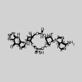 C[C@@H]1[C@@H]2O[PH](=O)OC[C@H]3C[C@@H](n4cnc5c4NC4=NN=NC4C5=O)[C@@H]3CO[P@@](=O)(S)OC[C@H]2O[C@H]1n1cnc2c(N)ncnc21